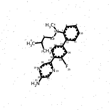 CC(C)CSN(C)c1ccccc1-c1ccc(-c2cnc(N)cn2)c(F)c1